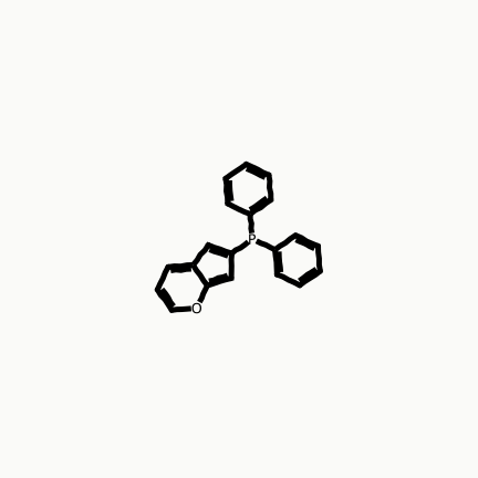 c1ccc(P(c2ccccc2)c2cc3cccoc-3c2)cc1